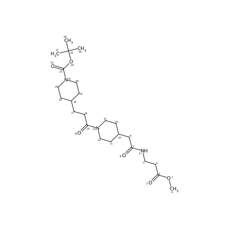 COC(=O)CCNC(=O)CC1CCN(C(=O)CCC2CCN(C(=O)OC(C)(C)C)CC2)CC1